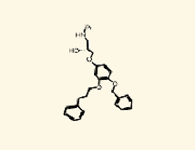 CC(C)NC[C@@H](O)COc1ccc(OCc2ccccc2)c(OCCCc2ccccc2)c1